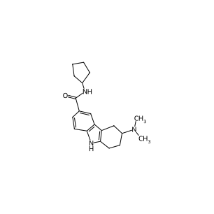 CN(C)C1CCc2[nH]c3ccc(C(=O)NC4CCCC4)cc3c2C1